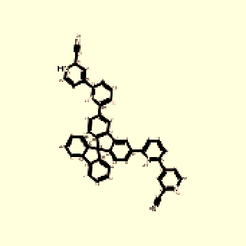 N#Cc1cc(-c2cccc(-c3ccc4c(c3)-c3cc(-c5cccc(C6=CC(C#N)NC=C6)n5)ccc3C43c4ccccc4-c4ccccc43)n2)ccn1